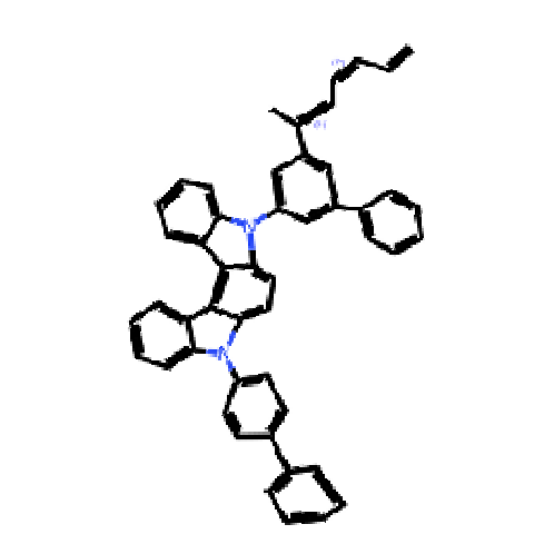 C=C/C=C\C=C(/C)c1cc(-c2ccccc2)cc(-n2c3ccccc3c3c4c5ccccc5n(-c5ccc(-c6ccccc6)cc5)c4ccc32)c1